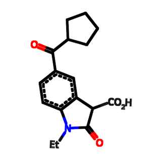 CCN1C(=O)C(C(=O)O)c2cc(C(=O)C3CCCC3)ccc21